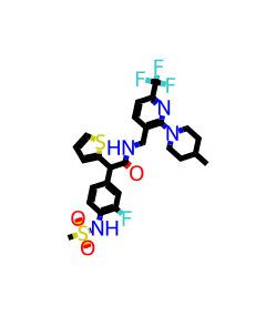 CC1CCN(c2nc(C(F)(F)F)ccc2CNC(=O)C(c2ccc(NS(C)(=O)=O)c(F)c2)c2cccs2)CC1